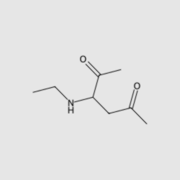 CCNC(CC(C)=O)C(C)=O